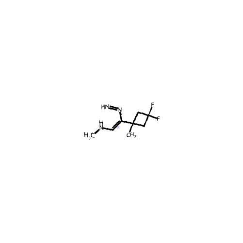 CN/C=C(\N=N)C1(C)CC(F)(F)C1